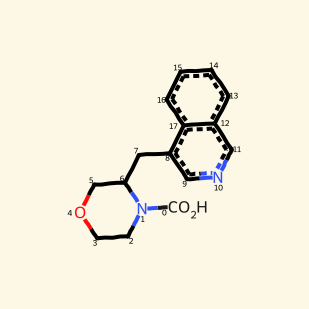 O=C(O)N1CCOCC1Cc1cncc2ccccc12